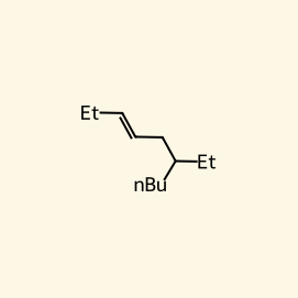 CC/C=C/CC(CC)CCCC